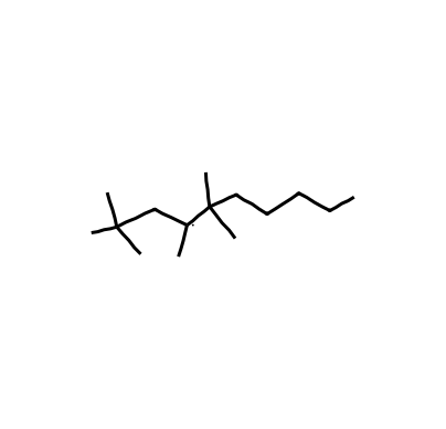 CCCCCC(C)(C)[C](C)CC(C)(C)C